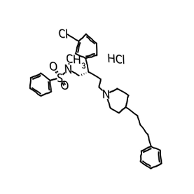 CN(C[C@@H](CCN1CCC(CCCc2ccccc2)CC1)c1cccc(Cl)c1)S(=O)(=O)c1ccccc1.Cl